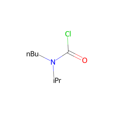 CCCCN(C(=O)Cl)C(C)C